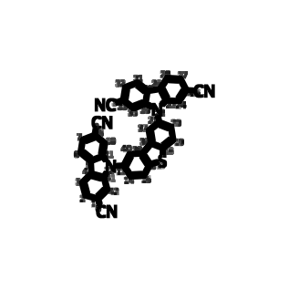 N#Cc1ccc2c3ccc(C#N)cc3n(-c3ccc4sc5ccc(-n6c7cc(C#N)ccc7c7ccc(C#N)cc76)cc5c4c3)c2c1